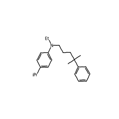 CCN(CCCC(C)(C)c1ccccc1)c1ccc(C(C)C)cc1